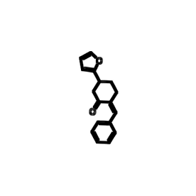 O=C1CC(c2ccco2)CCC1=Cc1ccccc1